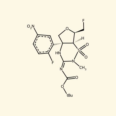 CN1/C(=N\C(=O)OC(C)(C)C)N[C@@]2(c3cc([N+](=O)[O-])ccc3F)CO[C@@H](CF)[C@H]2S1(=O)=O